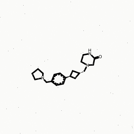 O=C1CN(C[C@H]2C[C@H](c3ccc(CN4CCCC4)cc3)C2)CCN1